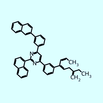 C=C(CC)C/C=C(\C=C/C)c1cccc(-c2cc(-c3cccc(-c4ccc5ccccc5c4)c3)nc(-c3cccc4ccccc34)n2)c1